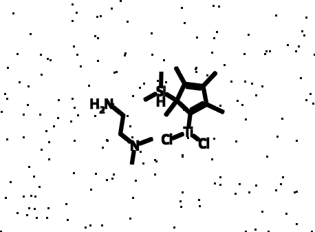 CC1=C(C)C(C)([SiH](C)C)[C]([Ti]([Cl])[Cl])=C1C.CN(C)CCN